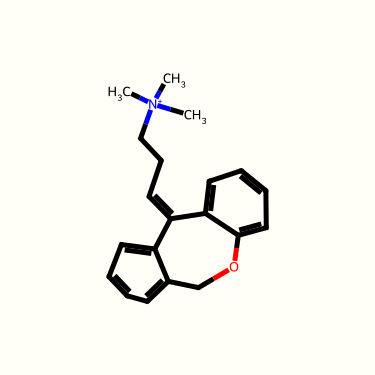 C[N+](C)(C)CCC=C1c2ccccc2COc2ccccc21